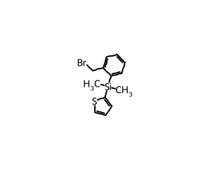 C[Si](C)(c1cccs1)c1ccccc1CBr